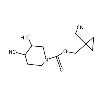 CC1CN(C(=O)OCC2(CC#N)CC2)CCC1C#N